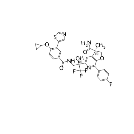 C[C@]1(C(N)=O)COc2c1cc([C@@](O)(CNC(=O)c1ccc(OC3CC3)c(-c3cncs3)c1)C(F)(F)F)nc2-c1ccc(F)cc1